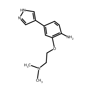 CN(C)CCOc1cc(-c2cn[nH]c2)ccc1N